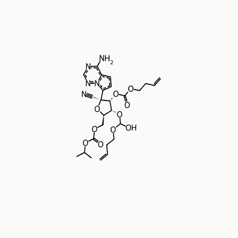 C=CCCOC(=O)O[C@@H]1[C@H](OC(O)OCCC=C)[C@@H](COC(=O)OC(C)C)O[C@@]1(C#N)c1ccc2c(N)ncnn12